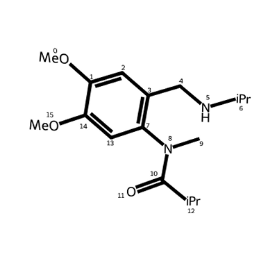 COc1cc(CNC(C)C)c(N(C)C(=O)C(C)C)cc1OC